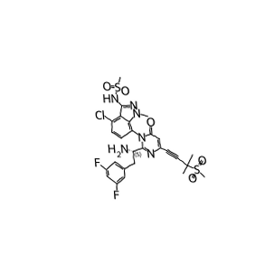 Cn1nc(NS(C)(=O)=O)c2c(Cl)ccc(-n3c([C@@H](N)Cc4cc(F)cc(F)c4)nc(C#CC(C)(C)S(C)(=O)=O)cc3=O)c21